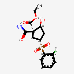 N#CCOC(=O)[C@@]1(C(N)=O)C[C@@H](S(=O)(=O)c2ccccc2Cl)C[C@@H]1O